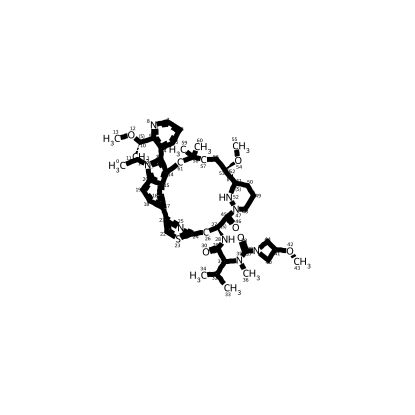 CCn1c(-c2cccnc2[C@H](C)OC)c2c3cc(ccc31)-c1csc(n1)C[C@H](NC(=O)C(C(C)C)N(C)C(=O)N1CC(OC)C1)C(=O)N1CCC[C@H](N1)[C@H](OC)CCC(C)(C)C2